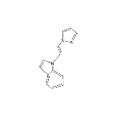 C(=Cn1ccc2ccccc21)n1cccn1